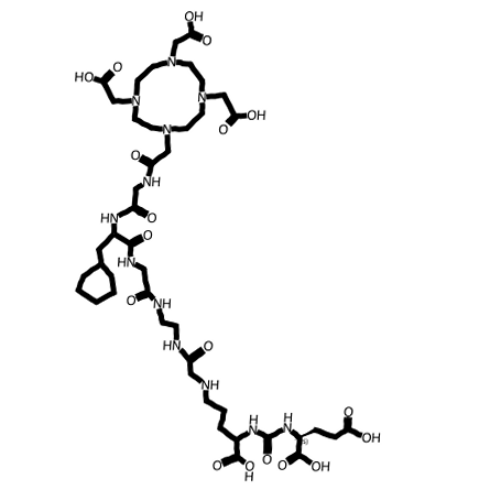 O=C(O)CC[C@H](NC(=O)NC(CCCNCC(=O)NCCNC(=O)CNC(=O)C(CC1CCCCC1)NC(=O)CNC(=O)CN1CCN(CC(=O)O)CCN(CC(=O)O)CCN(CC(=O)O)CC1)C(=O)O)C(=O)O